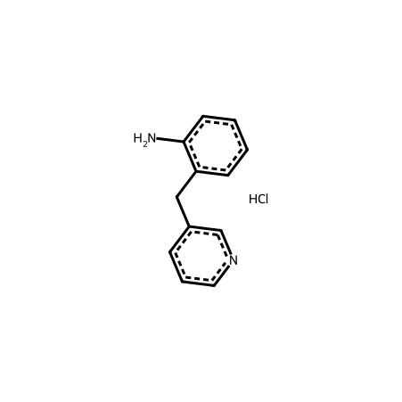 Cl.Nc1ccccc1Cc1cccnc1